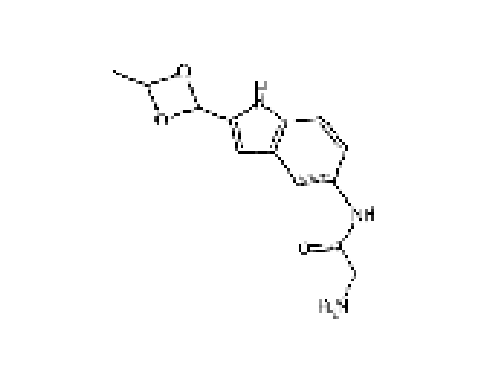 CC1OC(c2cc3cc(NC(=O)CN)ccc3[nH]2)O1